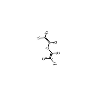 ClC(Cl)=C(Cl)OC(Cl)=C(Cl)Cl